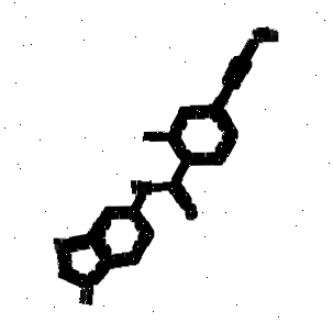 Cc1cc(C#CC(C)(C)C)ccc1C(=O)Nc1ccc2[nH]cnc2c1